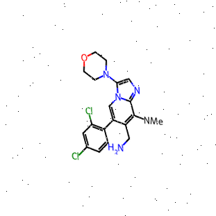 CNc1c(CN)c(-c2ccc(Cl)cc2Cl)cn2c(N3CCOCC3)cnc12